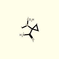 CN(C(=O)O)C1(C(N)=O)CC1